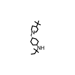 CCC(C)(C)N[C@H]1CC[C@H](CN2CCC(C(C)(C)C)CC2)CC1